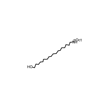 CCCCCCCCNCCCCCCCCCCCCCCCCCCO